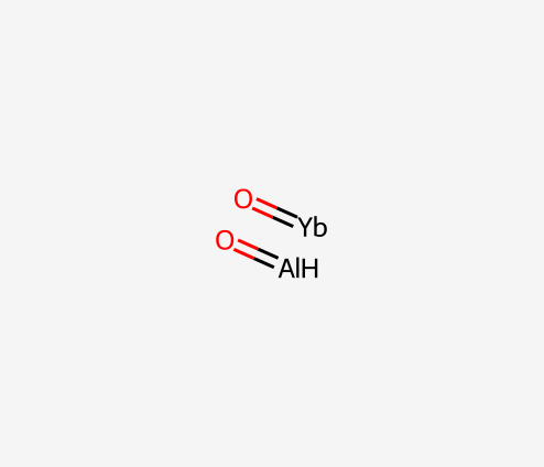 [O]=[AlH].[O]=[Yb]